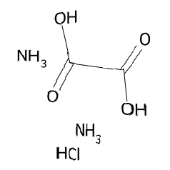 Cl.N.N.O=C(O)C(=O)O